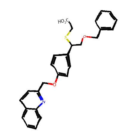 O=C(O)CSC(COCc1ccccc1)c1ccc(OCc2ccc3ccccc3n2)cc1